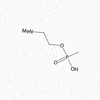 CNCCOP(C)(=O)O